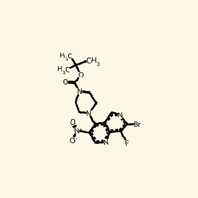 CC(C)(C)OC(=O)N1CCN(c2c([N+](=O)[O-])cnc3c(F)c(Br)ncc23)CC1